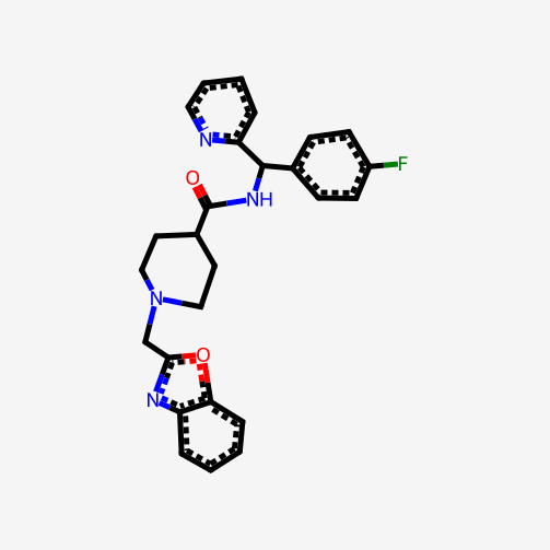 O=C(NC(c1ccc(F)cc1)c1ccccn1)C1CCN(Cc2nc3ccccc3o2)CC1